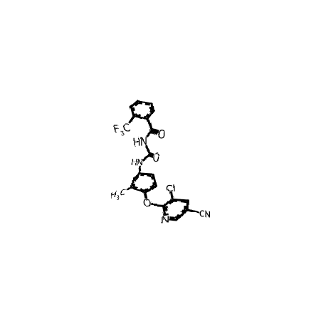 Cc1cc(NC(=O)NC(=O)c2ccccc2C(F)(F)F)ccc1Oc1ncc(C#N)cc1Cl